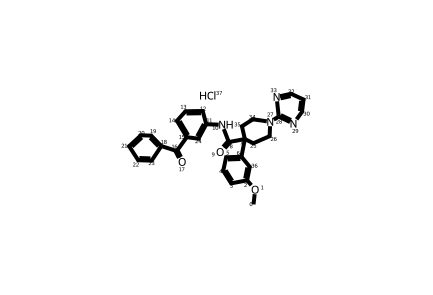 COc1cccc(C2(C(=O)Nc3cccc(C(=O)c4ccccc4)c3)CCN(c3ncccn3)CC2)c1.Cl